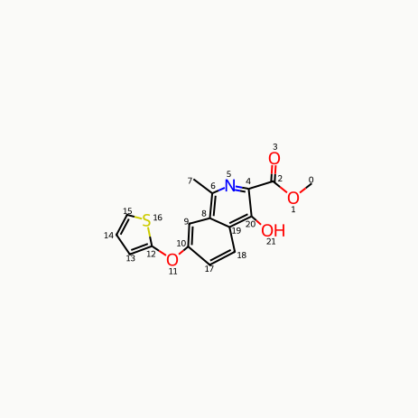 COC(=O)c1nc(C)c2cc(Oc3cccs3)ccc2c1O